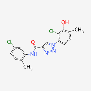 Cc1ccc(Cl)cc1NC(=O)c1cn(-c2ccc(C)c(O)c2Cl)nn1